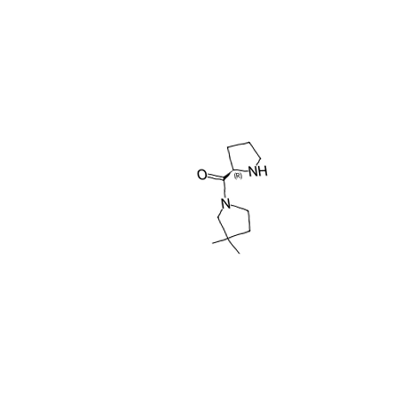 CC1(C)CCN(C(=O)[C@H]2CCCN2)C1